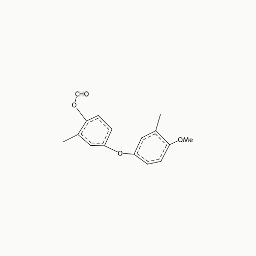 COc1ccc(Oc2ccc(OC=O)c(C)c2)cc1C